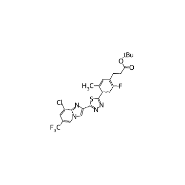 Cc1cc(CCC(=O)OC(C)(C)C)c(F)cc1-c1nnc(-c2cn3cc(C(F)(F)F)cc(Cl)c3n2)s1